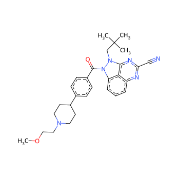 COCCN1CCC(c2ccc(C(=O)N3c4cccc5nc(C#N)nc(c45)N3CC(C)(C)C)cc2)CC1